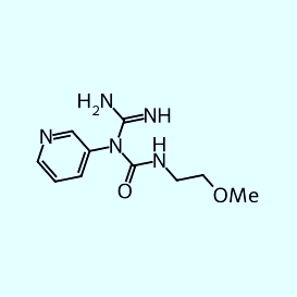 COCCNC(=O)N(C(=N)N)c1cccnc1